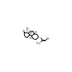 CC/C=C(/C)C[C@@H]1CC[C@@H]2[C@H](CC[C@]3(C)C(=O)CC[C@@H]23)C1